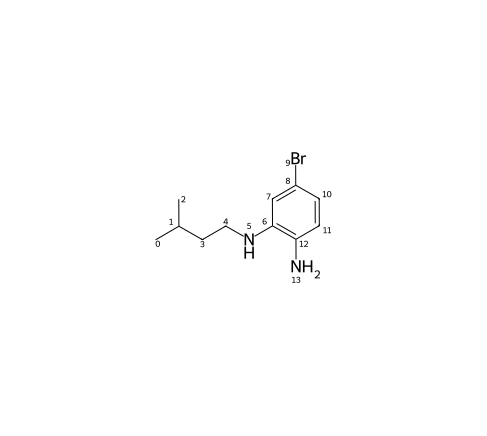 CC(C)CCNc1cc(Br)ccc1N